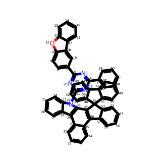 c1ccc(-c2nc(-c3ccc4oc5ccccc5c4c3)nc(-n3c4ccccc4c4c5ccccc5c5c(c43)C3(c4ccccc4-c4ccccc43)c3ccccc3-5)n2)cc1